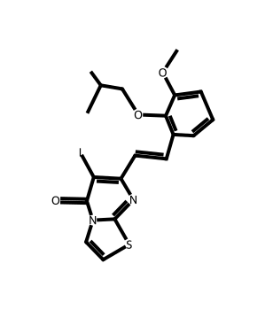 COc1cccc(C=Cc2nc3sccn3c(=O)c2I)c1OCC(C)C